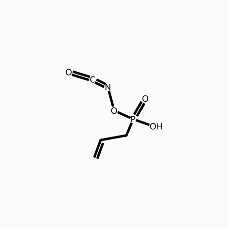 C=CCP(=O)(O)ON=C=O